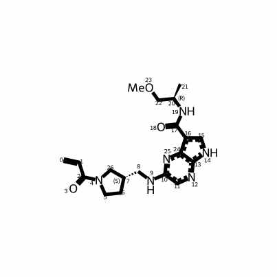 C=CC(=O)N1CC[C@@H](CNc2cnc3[nH]cc(C(=O)N[C@H](C)COC)c3n2)C1